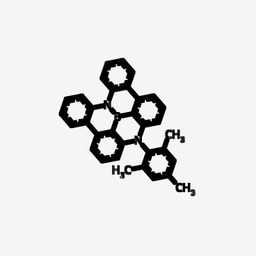 Cc1cc(C)c(N2c3cccc4c3B3c5c(cccc52)-c2ccccc2N3c2ccccc2-4)c(C)c1